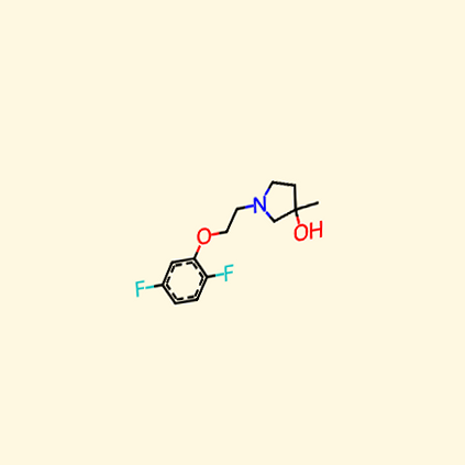 CC1(O)CCN(CCOc2cc(F)ccc2F)C1